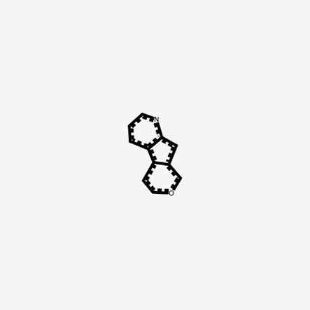 c1cnc2cc3coccc-3c2c1